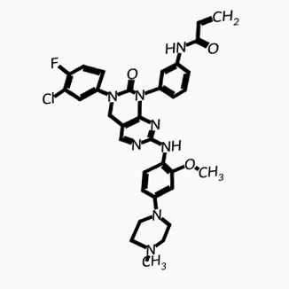 C=CC(=O)Nc1cccc(N2C(=O)N(c3ccc(F)c(Cl)c3)Cc3cnc(Nc4ccc(N5CCN(C)CC5)cc4OC)nc32)c1